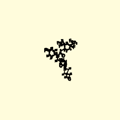 O=C(Cc1ccc(C(F)(F)F)cc1C(F)(F)F)N(Cc1nnc(N2CC3(COC3)C2)o1)c1ccc(F)cc1